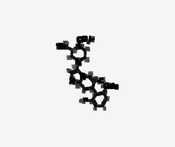 COc1cccc(F)c1-c1cc2ncc(N3CCN(C(=O)O)C(C(C)(C)C)C3)n2cc1Cl